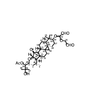 CC(=O)O[C@@H]([C@H]1C[C@@H](C)[C@H]2[C@H](O1)C(=O)[C@@]1(C)[C@@H]3CC[C@H]4C(C)(C)[C@@H](O[C@@H](C=O)OCC=O)CC[C@@]45CC35CC[C@]21C)C(C)(C)O